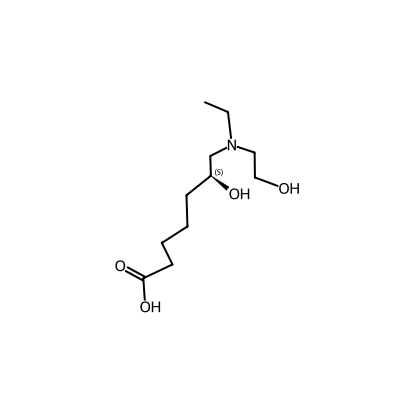 CCN(CCO)C[C@@H](O)CCCCC(=O)O